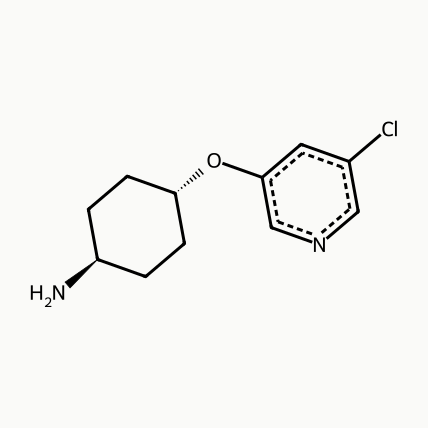 N[C@H]1CC[C@H](Oc2cncc(Cl)c2)CC1